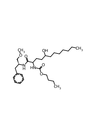 CCCCCCCC(O)CCC(NC(=O)OCCCC)C(=O)N[C@H](COC)Cc1ccccc1